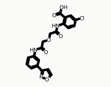 O=C(COCC(=O)Nc1ccc(Cl)cc1C(=O)O)Nc1cccc(-c2ccon2)c1